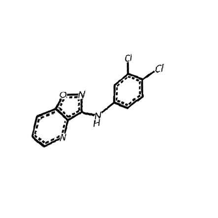 Clc1ccc(Nc2noc3cccnc23)cc1Cl